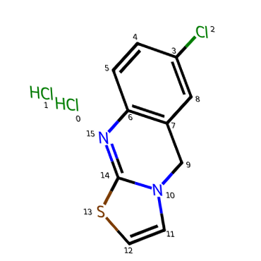 Cl.Cl.Clc1ccc2c(c1)CN1C=CSC1=N2